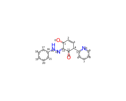 O=C1C=CC(c2ccccn2)C(=O)C1=NNc1ccccc1